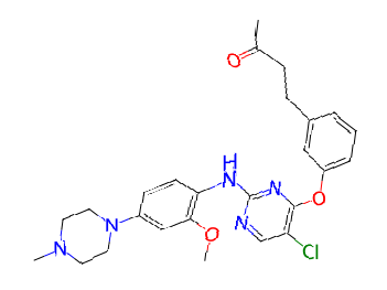 COc1cc(N2CCN(C)CC2)ccc1Nc1ncc(Cl)c(Oc2cccc(CCC(C)=O)c2)n1